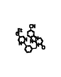 CCOc1cnc(-c2cccc(Cn3c(=O)ccn4c5cc(C#N)ccc5nc34)c2)nc1